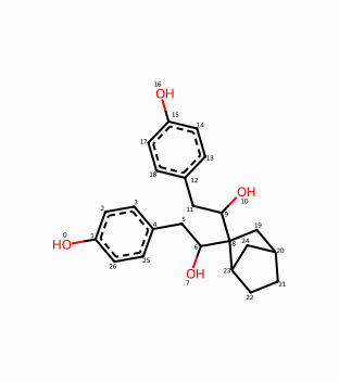 Oc1ccc(CC(O)C2(C(O)Cc3ccc(O)cc3)CC3CCC2C3)cc1